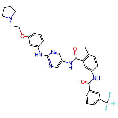 Cc1ccc(NC(=O)c2cccc(C(F)(F)F)c2)cc1C(=O)Nc1cnc(Nc2cccc(OCCN3CCCC3)c2)nc1